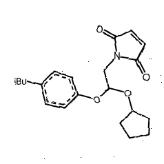 CCC(C)c1ccc(OC(CN2C(=O)C=CC2=O)OC2CCCC2)cc1